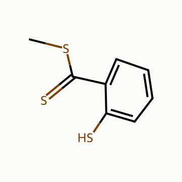 CSC(=S)c1ccccc1S